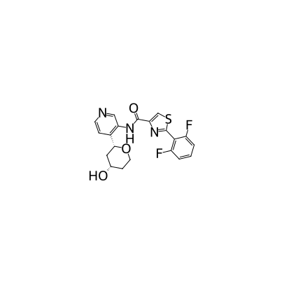 O=C(Nc1cnccc1[C@H]1C[C@@H](O)CCO1)c1csc(-c2c(F)cccc2F)n1